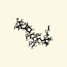 CCOCOC(CCC[Si](C[Si](CC)(OC)OC)(C[Si](C)(OC)C1CC2CC(CC(O)(C(F)(F)F)C(F)(F)F)C1C2)OC)(C(F)(F)F)C(F)(F)F